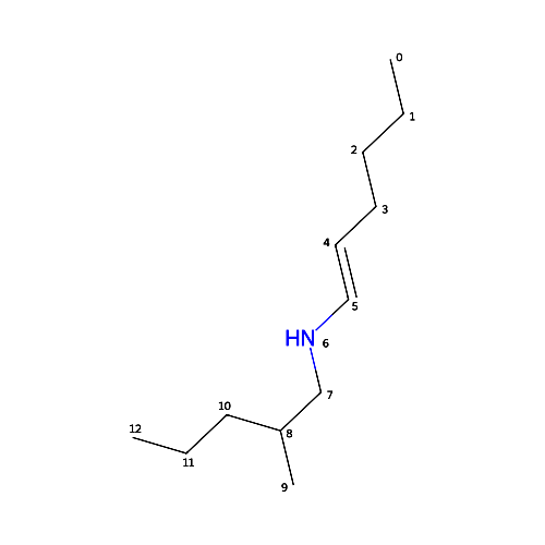 CCCCC=CNCC(C)CCC